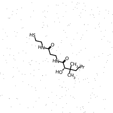 CC(C)CC(C)(C)[C@@H](O)C(=O)NCCC(=O)NCCS